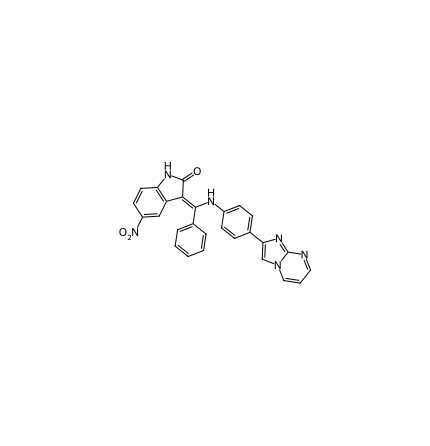 O=C1Nc2ccc([N+](=O)[O-])cc2C1=C(Nc1ccc(-c2cn3cccnc3n2)cc1)c1ccccc1